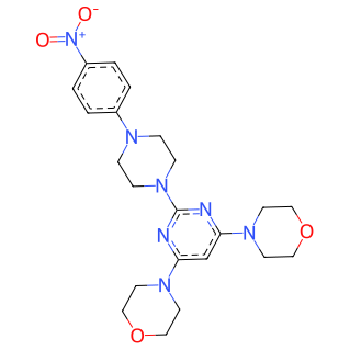 O=[N+]([O-])c1ccc(N2CCN(c3nc(N4CCOCC4)cc(N4CCOCC4)n3)CC2)cc1